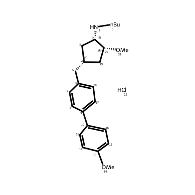 CCCCN[C@H]1C[C@@H](Cc2ccc(-c3ccc(OC)cc3)cc2)C[C@H]1OC.Cl